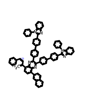 C=C(/C=C\c1ccccc1)c1ccc(-c2ccc3ccccc3c2)c2nc(-c3ccc(-c4ccc(-c5nc6ccccc6n5-c5ccccc5)cc4)cc3)c(-c3ccc(-c4ccc(-c5nc6ccccc6n5-c5ccccc5)cc4)cc3)nc12